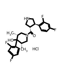 C[C@@H]1CN(C(=O)[C@@H]2CNC[C@H]2c2ccc(F)cc2F)C[C@H](C)C1(O)c1ccc(F)cc1F.Cl